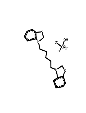 [O-][Cl+3]([O-])([O-])O.c1ccc2c(c1)SCN2CCCCCN1CSc2ccccc21